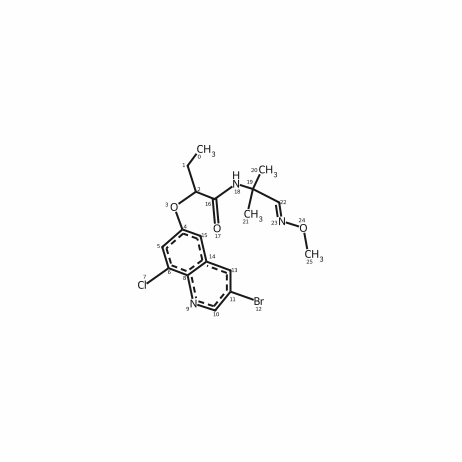 CCC(Oc1cc(Cl)c2ncc(Br)cc2c1)C(=O)NC(C)(C)C=NOC